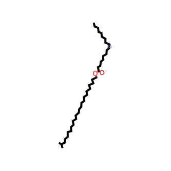 CCCCCCCC/C=C\CCCCCCCC(=O)OCCCCCCCCCCCCCCCCCCCCCCCC(C)C